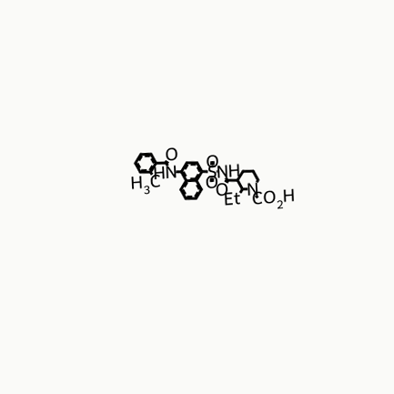 CCC1C(C(=O)NS(=O)(=O)c2ccc(NC(=O)c3ccccc3C)c3ccccc23)CCCN1C(=O)O